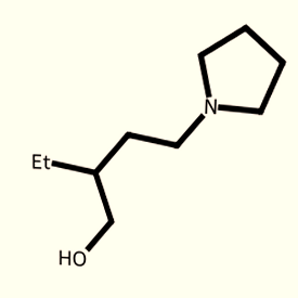 CCC(CO)CCN1CCCC1